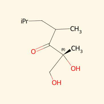 CC(C)CC(C)C(=O)[C@](C)(O)CO